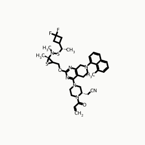 C=CC(=O)N1CCN(c2nc(OCC3S[C@]3(C)N(C)S[C@@H](C)C3CC(F)(F)C3)nc3c2CCN(c2cccc4cccc(C)c24)C3)C[C@@H]1CC#N